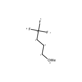 COC[CH]CC(F)(F)F